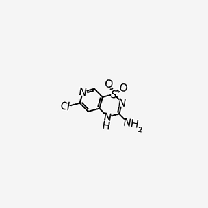 NC1=NS(=O)(=O)c2cnc(Cl)cc2N1